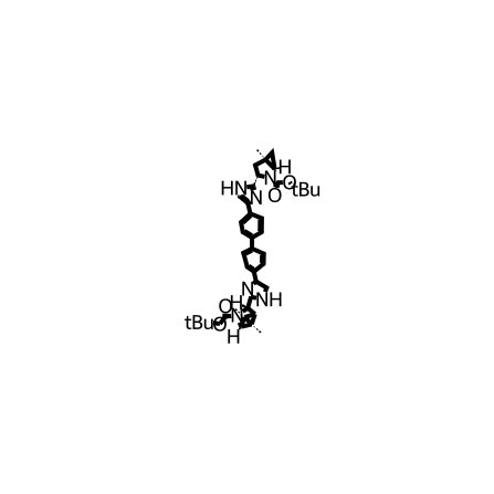 CC(C)(C)OC(=O)N1[C@H](C2=NC(c3ccc(-c4ccc(-c5c[nH]c([C@@H]6C[C@@]7(C)C[C@H]7N6C(=O)OC(C)(C)C)n5)cc4)cc3)CN2)C2[C@@]3(C)[C@@H]1[C@@]23C